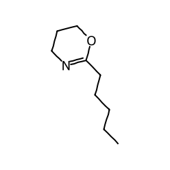 CCCCCC1=NCCCO1